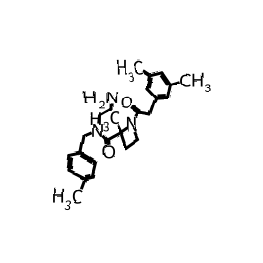 Cc1ccc(CN(CCN)C(=O)C2(C)CCN2C(=O)Cc2cc(C)cc(C)c2)cc1